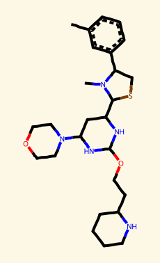 Cc1cccc(C2CSC(C3CC(N4CCOCC4)NC(OCCC4CCCCN4)N3)N2C)c1